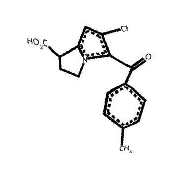 Cc1ccc(C(=O)c2c(Cl)cc3n2CCC3C(=O)O)cc1